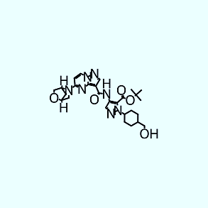 CC(C)(C)OC(=O)c1c(NC(=O)c2cnn3ccc(N4C[C@H]5C[C@@H]4CO5)nc23)cnn1C1CCC(CO)CC1